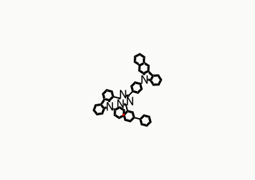 c1ccc(-c2cccc(-c3nc(-c4ccc(-n5c6ccccc6c6cc7ccccc7cc65)cc4)nc(-c4cccc5c6ccccc6n(-c6ccccc6)c45)n3)c2)cc1